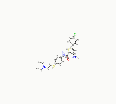 CCN(CC)CCSc1ccc(NC(=O)c2sc(-c3ccc(Cl)cc3)cc2NC)cc1